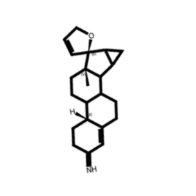 C[C@]12CCC3C(CCC4=CC(=N)CC[C@@H]43)C1C1CC1[C@@]21C=CCO1